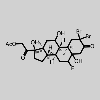 CC(=O)OCC(=O)[C@@]1(O)CC[C@H]2[C@@H]3CC(F)C4(O)CC(=O)C(Br)(Br)C[C@]4(C)[C@H]3C(O)C[C@@]21C